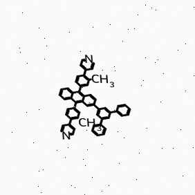 Cc1cc(-c2c3ccccc3c(-c3ccc(-c4ccncc4)c(C)c3)c3cc(-c4cc(-c5ccccc5)cc(-c5ccccc5)c4)ccc23)ccc1-c1ccncc1